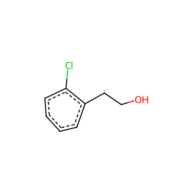 OC[CH]c1ccccc1Cl